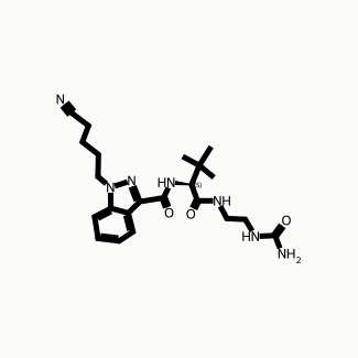 CC(C)(C)[C@H](NC(=O)c1nn(CCCCC#N)c2ccccc12)C(=O)NCCNC(N)=O